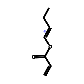 C=CC(=O)O/C=C/CC